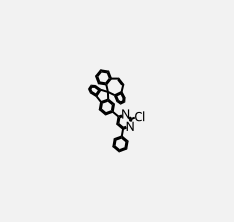 Clc1nc(-c2ccccc2)cc(-c2ccc3c(c2)C2(c4ccccc4C=Cc4ccccc42)c2ccccc2-3)n1